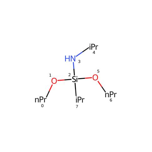 CCCO[Si](NC(C)C)(OCCC)C(C)C